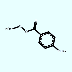 [CH2]CCCCCCCOOC(=O)c1ccc(CCCCCC)cc1